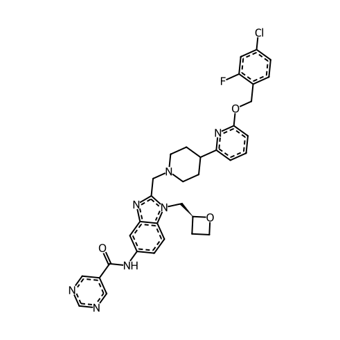 O=C(Nc1ccc2c(c1)nc(CN1CCC(c3cccc(OCc4ccc(Cl)cc4F)n3)CC1)n2C[C@@H]1CCO1)c1cncnc1